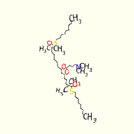 CCCCCCCCCSC(=O)C(C)(C)CCCCCC(CCCCCC(C)(C)C(=O)SCCCCCCCCC)OC(=O)CCCN(C)C